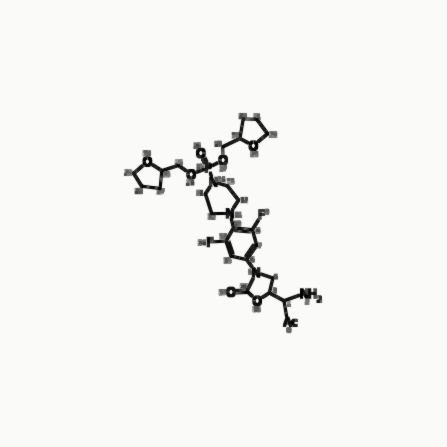 CC(=O)C(N)C1CN(c2cc(F)c(N3CCN(P(=O)(OCC4CCCO4)OCC4CCCO4)CC3)c(F)c2)C(=O)O1